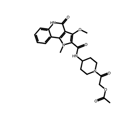 COc1c(C(=O)NC2CCN(C(=O)COC(C)=O)CC2)n(C)c2c1c(=O)[nH]c1ccccc12